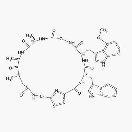 C=C1NC(=O)[C@@H](C)NC(=O)CNC(=O)[C@H](Cc2c[nH]c3cccc(OC)c23)NC(=O)[C@H](Cc2c[nH]c3ccccc23)NC(=O)c2csc(n2)CNC(=O)CN(C)C1=O